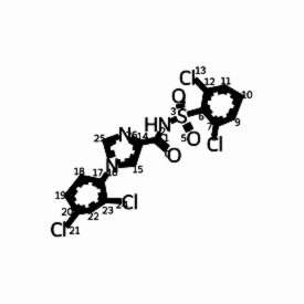 O=C(NS(=O)(=O)c1c(Cl)cccc1Cl)c1cn(-c2ccc(Cl)cc2Cl)cn1